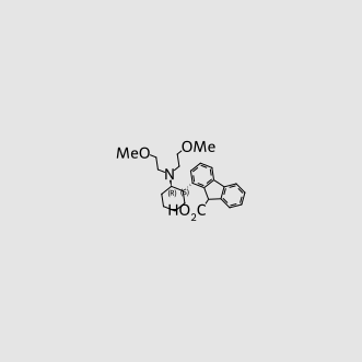 COCCN(CCOC)[C@@H]1CCCC[C@H]1c1cccc2c1C(C(=O)O)c1ccccc1-2